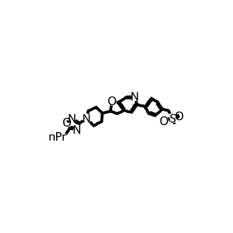 CCCc1nc(N2CCC(C3Cc4cc(-c5ccc(CS(C)(=O)=O)cc5)ncc4O3)CC2)no1